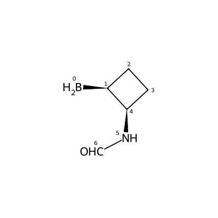 B[C@H]1CC[C@H]1NC=O